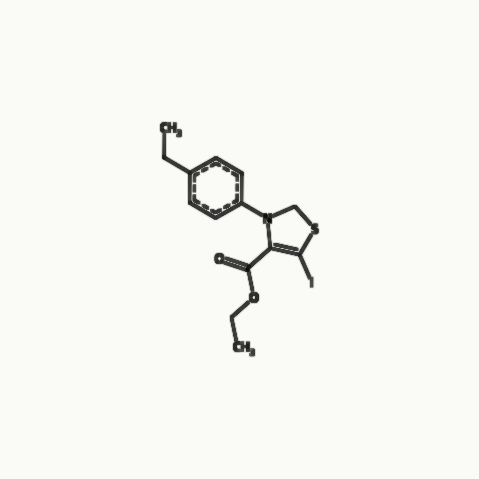 CCOC(=O)C1=C(I)SCN1c1ccc(CC)cc1